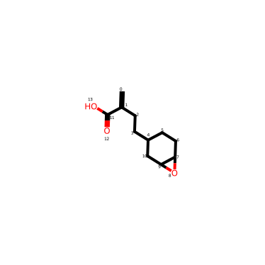 C=C(CCC1CCC2OC2C1)C(=O)O